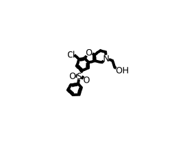 O=S(=O)(c1ccccc1)c1cc(Cl)c2oc3c(c2c1)CN(CCO)CC3